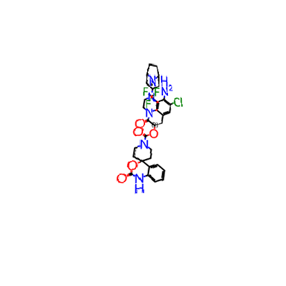 CN1C2CCC1CC(N1CCN(C(=O)[C@@H](Cc3cc(Cl)c(N)c(C(F)(F)F)c3)OC(=O)N3CCC4(CC3)OC(=O)Nc3ccccc34)CC1)C2